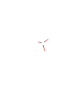 [Ca+2].[O-]B([O-])[O-].[Tm+3]